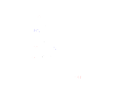 O=C=C1c2ccc(O)cc2CN1C1CCC(=O)NC1=O